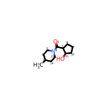 CC1CCN(C(=O)C2CCCC2O)CC1